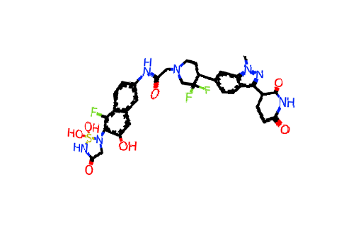 Cn1nc(C2CCC(=O)NC2=O)c2ccc(C3CCN(CC(=O)Nc4ccc5c(F)c(N6CC(=O)NS6(O)O)c(O)cc5c4)CC3(F)F)cc21